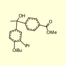 COC(=O)c1ccc(C(C)(O)c2ccc(OCC(C)C)c(C(C)C)c2)cc1